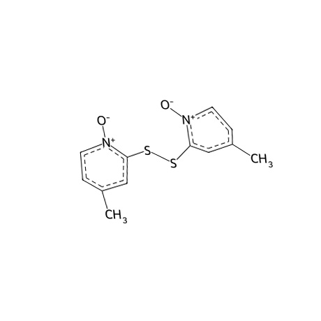 Cc1cc[n+]([O-])c(SSc2cc(C)cc[n+]2[O-])c1